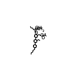 C=C(C)C(=O)OCCc1cc(-c2ccc(-c3ccc(CCCCC)cc3)cc2CC)ccc1OCC(CN)(CO)CCCC